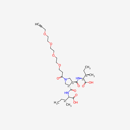 C#CCOCCOCCOCCOCCC(=O)N1C[C@@H](C(=O)NC(C(=O)O)[C@H](C)CC)[C@H](C(=O)N[C@H](C(=O)O)[C@H](C)CC)C1